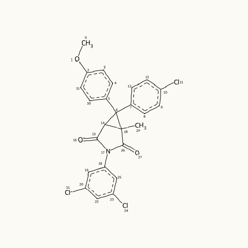 COc1ccc(C2(c3ccc(Cl)cc3)C3C(=O)N(c4cc(Cl)cc(Cl)c4)C(=O)C32C)cc1